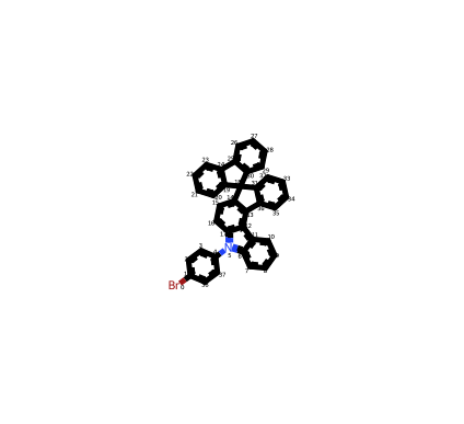 Brc1ccc(-n2c3ccccc3c3c4c(ccc32)C2(c3ccccc3-c3ccccc32)c2ccccc2-4)cc1